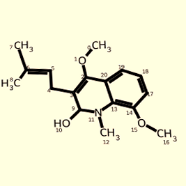 COC1=C(CC=C(C)C)C(O)N(C)c2c(OC)cccc21